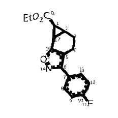 CCOC(=O)C1C2CCc3c(-c4ccc(F)cc4)noc3C21